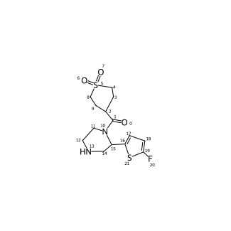 O=C(C1CCS(=O)(=O)CC1)N1CCNCC1c1ccc(F)s1